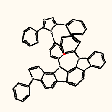 c1ccc(-c2nnc(-c3ccccc3)n2-c2ccc(-n3c4c(ccc5c4ccn5-c4ccccc4)c4ccc5c6ccccc6n(-c6ccccc6)c5c43)cc2)cc1